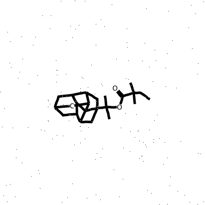 CCC(C)(C)C(=O)OC(C)(C)C12CC3C4CC5CC3C(C1)C(C5)C4C2